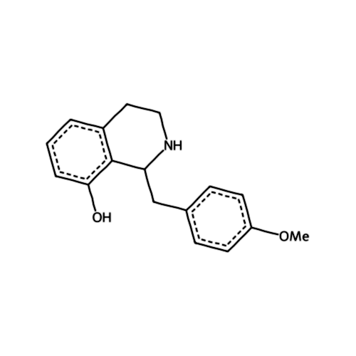 COc1ccc(CC2NCCc3cccc(O)c32)cc1